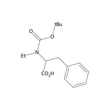 CCN(C(=O)OC(C)(C)C)C(Cc1ccccc1)C(=O)O